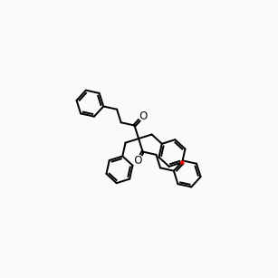 O=C(CCc1ccccc1)C(Cc1ccccc1)(Cc1ccccc1)C(=O)CCc1ccccc1